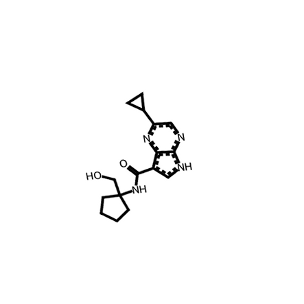 O=C(NC1(CO)CCCC1)c1c[nH]c2ncc(C3CC3)nc12